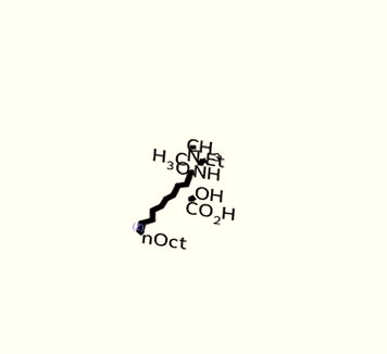 CCCCCCCC/C=C\CCCCCCCC(=O)NC(CC)N(C)C.O=C(O)CO